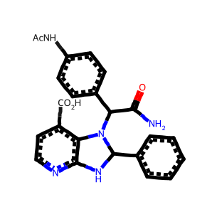 CC(=O)Nc1ccc(C(C(N)=O)N2c3c(C(=O)O)ccnc3NC2c2ccccc2)cc1